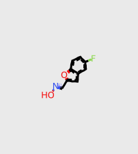 O/N=C/c1cc2cc(F)ccc2o1